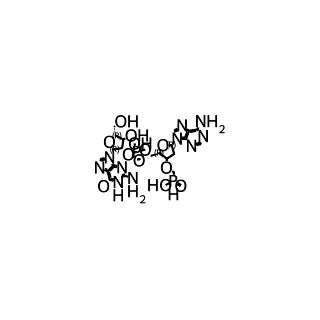 Nc1nc2c(ncn2[C@@H]2O[C@H](CO)C(O)C2OP(=O)(O)OC[C@H]2O[C@@H](n3cnc4c(N)ncnc43)CC2OC[PH](=O)O)c(=O)[nH]1